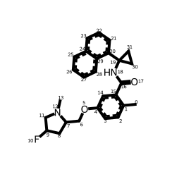 Cc1ccc(OCC2CC(F)CN2C)cc1C(=O)NC1(c2cccc3ccccc23)CC1